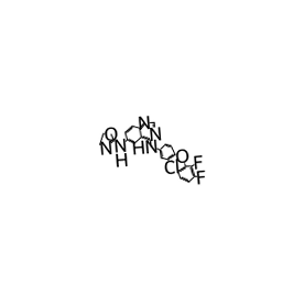 Fc1cccc(Oc2ccc(Nc3ncnc4ccc(NC5=NCCO5)cc34)cc2Cl)c1F